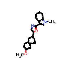 COc1ccc2cc(-c3cnc(-c4cn(C)c5ccccc45)o3)ccc2c1